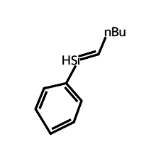 [CH2]CCCC=[SiH]c1ccccc1